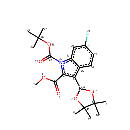 COC(=O)c1c(B2OC(C)(C)C(C)(C)O2)c2ccc(F)cc2n1C(=O)OC(C)(C)C